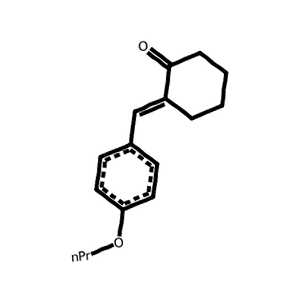 CCCOc1ccc(C=C2CCCCC2=O)cc1